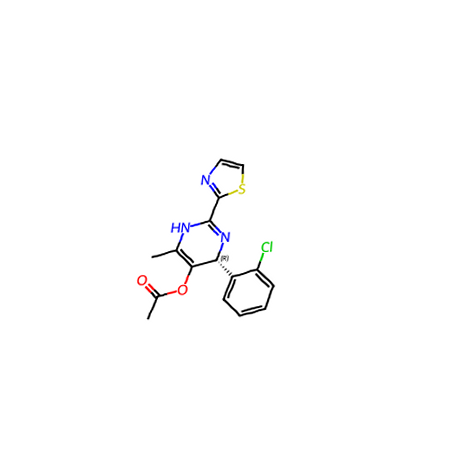 CC(=O)OC1=C(C)NC(c2nccs2)=N[C@@H]1c1ccccc1Cl